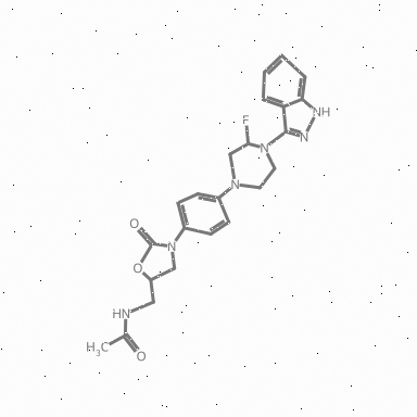 CC(=O)NCC1CN(c2ccc(N3CCN(c4n[nH]c5ccccc45)C(F)C3)cc2)C(=O)O1